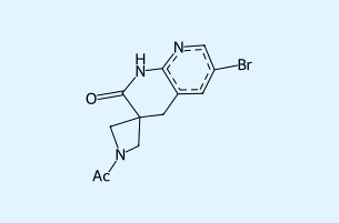 CC(=O)N1CC2(Cc3cc(Br)cnc3NC2=O)C1